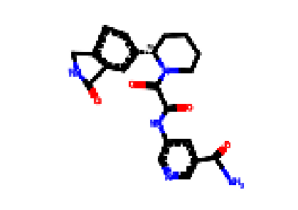 NC(=O)c1cncc(NC(=O)C(=O)N2CCCC[C@H]2c2ccc3c(c2)C(=O)NC3)c1